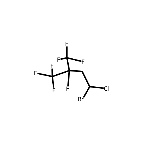 FC(F)(F)C(F)(CC(Cl)Br)C(F)(F)F